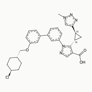 Cn1cc([C@H]2C[C@@H]2c2c(C(=O)O)cnn2-c2cccc(-c3cccc(OC[C@H]4CC[C@H](Cl)CC4)c3)c2)nn1